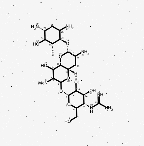 CNC1C(O[C@H]2OC(CO)[C@@H](NC(=N)N)[C@H](O)C2O)O[C@H]2CC(N)[C@@H](O[C@@H]3C(N)C[C@@H](N)C(O)[C@H]3F)OC2C1O